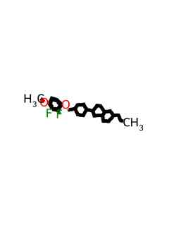 CCCC1CCC2CC(C3CCC(COc4ccc(OC)c(F)c4F)CC3)CCC2C1